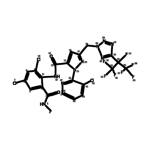 CNC(=O)c1cc(Cl)cc(Cl)c1NC(=O)c1cc(Cn2nnc(C(F)(C(F)(F)F)C(F)(F)F)n2)nn1-c1ncccc1Cl